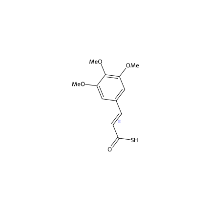 COc1cc(/C=C/C(=O)S)cc(OC)c1OC